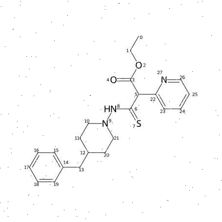 CCOC(=O)C(C(=S)NN1CCC(Cc2ccccc2)CC1)c1ccccn1